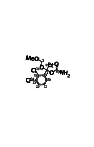 CCC(OCOC)(OC(N)=O)c1cccc(Cl)c1Cl